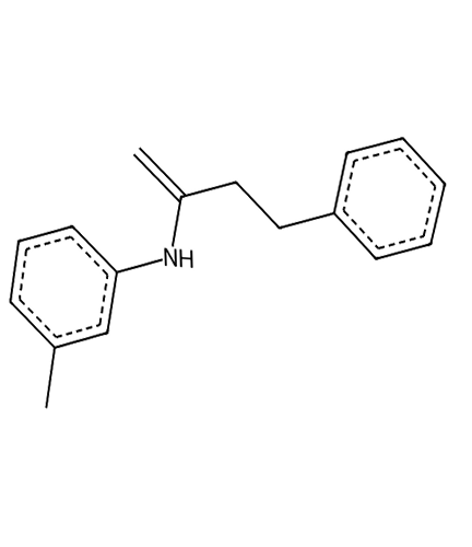 C=C(CCc1ccccc1)Nc1cccc(C)c1